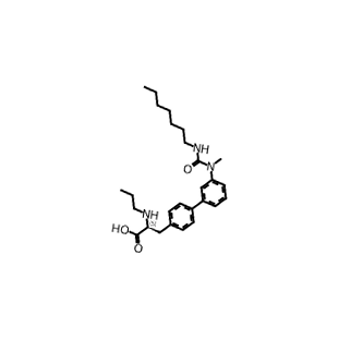 CCCCCCCNC(=O)N(C)c1cccc(-c2ccc(C[C@H](NCCC)C(=O)O)cc2)c1